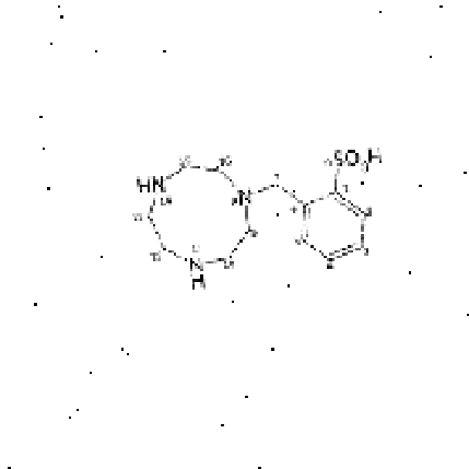 O=S(=O)(O)c1ccccc1CN1CCNCCNCC1